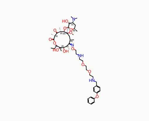 CC[C@H]1OC(=O)[C@H](C)C(=O)[C@H](C)[C@@H](O[C@@H]2O[C@H](C)C[C@H](N(C)C)[C@H]2O)[C@@](C)(OC)C[C@@H](C)C(=NOCCNCCOCCOCCNCc2ccc(Oc3ccccc3)cc2)[C@H](C)[C@@H](O)[C@]1(C)O